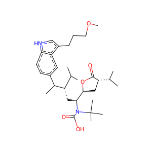 COCCCc1c[nH]c2ccc(C(C)[C@@H](C[C@@H]([C@@H]3C[C@@H](C(C)C)C(=O)O3)N(C(=O)O)C(C)(C)C)C(C)C)cc12